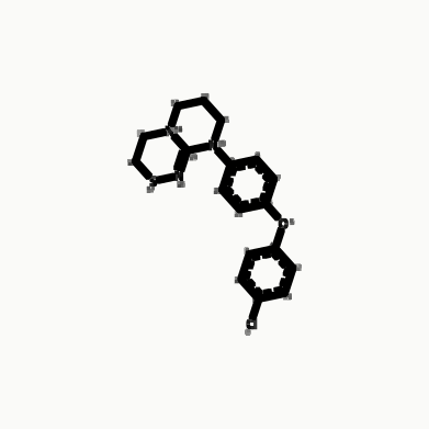 Clc1ccc(Oc2ccc(N3CCCN4CCSN=C43)cc2)cc1